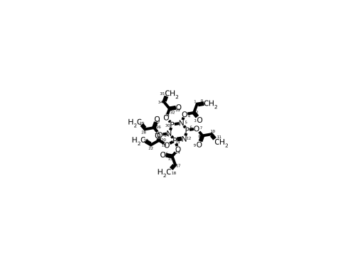 C=CC(=O)ON1P(OC(=O)C=C)N=P(OC(=O)C=C)(OC(=O)C=C)N(OC(=O)C=C)P1OC(=O)C=C